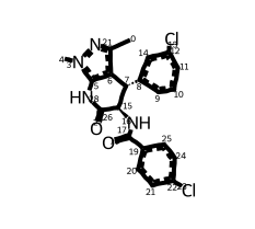 Cc1nn(C)c2c1[C@H](c1cccc(Cl)c1)[C@@H](NC(=O)c1ccc(Cl)cc1)C(=O)N2